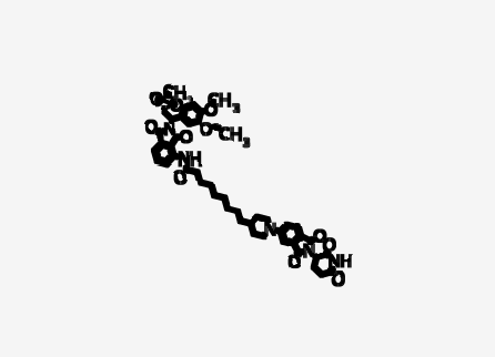 CCOc1cc(C(CS(C)(=O)=O)N2C(=O)c3cccc(NC(=O)CCCCCCCCC4CCN(c5ccc6c(c5)C(=O)N(C5CCC(=O)NC5=O)C6=O)CC4)c3C2=O)ccc1OC